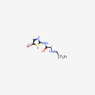 CCOC(=O)CNCC(=O)Nc1ncc(Br)s1